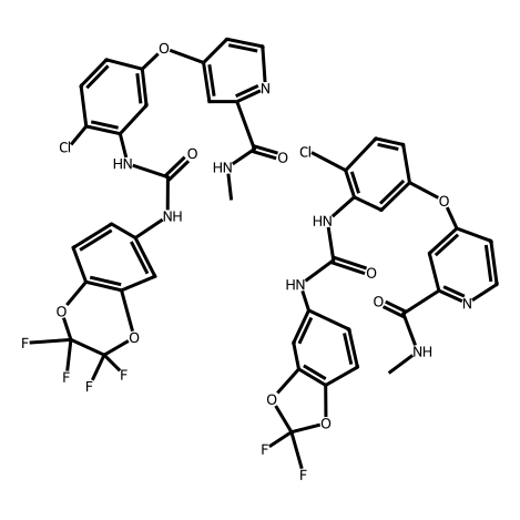 CNC(=O)c1cc(Oc2ccc(Cl)c(NC(=O)Nc3ccc4c(c3)OC(F)(F)C(F)(F)O4)c2)ccn1.CNC(=O)c1cc(Oc2ccc(Cl)c(NC(=O)Nc3ccc4c(c3)OC(F)(F)O4)c2)ccn1